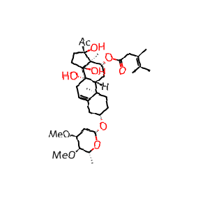 CO[C@H]1[C@@H](OC)C[C@H](O[C@H]2CC[C@@]3(C)C(=CC[C@]4(O)[C@@H]3C[C@@H](OC(=O)CC(C)=C(C)C)[C@@]3(C)[C@@]4(O)CC[C@@]3(O)C(C)=O)C2)O[C@@H]1C